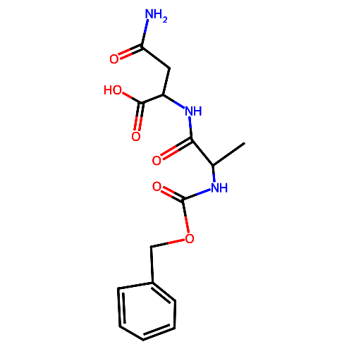 CC(NC(=O)OCc1ccccc1)C(=O)NC(CC(N)=O)C(=O)O